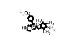 COc1ccc(C(=O)C2CNCCN2CC2(C)Cc3c(C)c(N)c(C)c(C)c3O2)cc1